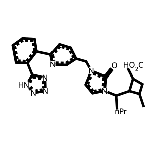 CCCC(C1C(C)CC1C(=O)O)n1ccn(Cc2ccc(-c3ccccc3-c3nnn[nH]3)nc2)c1=O